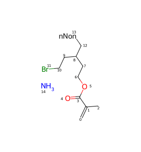 C=C(C)C(=O)OCCC(CCBr)CCCCCCCCCC.N